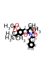 CC(=O)Oc1cc(C[C@@H](C(=O)N2C(=O)OC[C@H]2Cc2ccccc2)C(C)C)ccc1C(C)(C)C